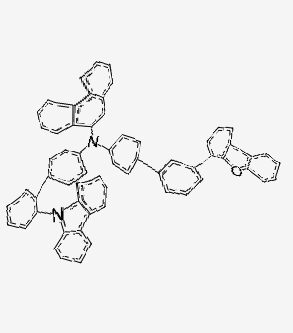 c1cc(-c2ccc(N(c3ccc(-c4ccccc4-n4c5ccccc5c5ccccc54)cc3)c3cc4ccccc4c4ccccc34)cc2)cc(-c2cccc3c2oc2ccccc23)c1